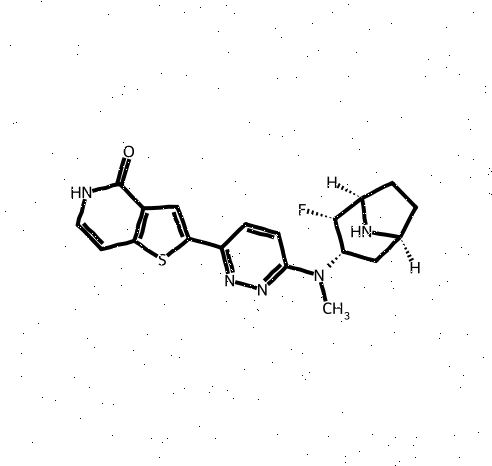 CN(c1ccc(-c2cc3c(=O)[nH]ccc3s2)nn1)[C@H]1C[C@@H]2CC[C@@H](N2)[C@H]1F